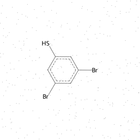 Sc1cc(Br)cc(Br)c1